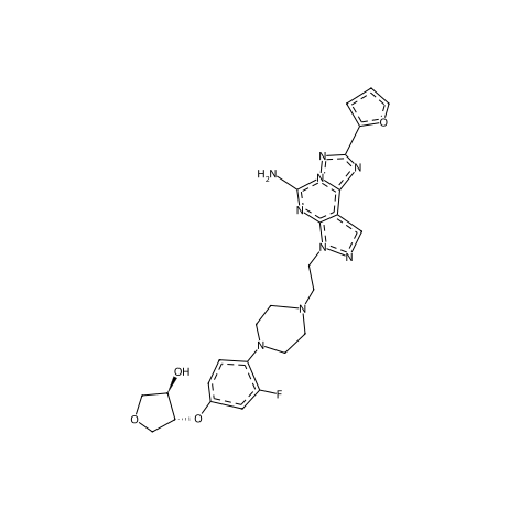 Nc1nc2c(cnn2CCN2CCN(c3ccc(O[C@@H]4COC[C@H]4O)cc3F)CC2)c2nc(-c3ccco3)nn12